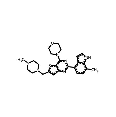 Cc1ccc(-c2nc(N3CCOCC3)c3sc(CN4CCN(C)CC4)cc3n2)c2cc[nH]c12